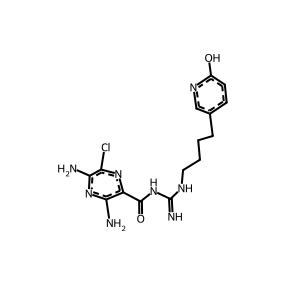 N=C(NCCCCc1ccc(O)nc1)NC(=O)c1nc(Cl)c(N)nc1N